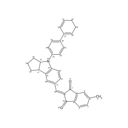 Cc1ccc2c(c1)C(=O)/C(=C\c1ccc3c(c1)C1CCCC1N3c1ccc(C3=CCCC=C3)cc1)C2=O